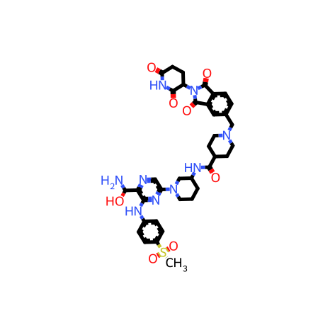 CS(=O)(=O)c1ccc(Nc2nc(N3CCCC(NC(=O)C4CCN(Cc5ccc6c(c5)C(=O)N(C5CCC(=O)NC5=O)C6=O)CC4)C3)cnc2C(N)O)cc1